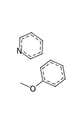 COc1ccccc1.c1ccncc1